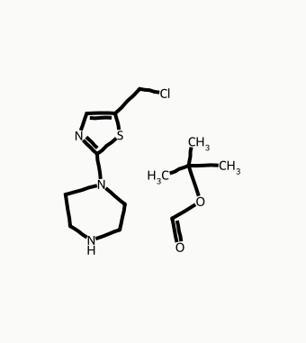 CC(C)(C)OC=O.ClCc1cnc(N2CCNCC2)s1